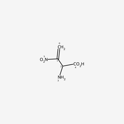 C=C(C(N)C(=O)O)[N+](=O)[O-]